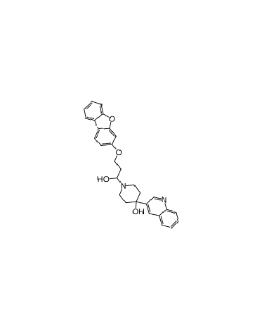 OC(CCOc1ccc2c(c1)oc1ccccc12)N1CCC(O)(c2cnc3ccccc3c2)CC1